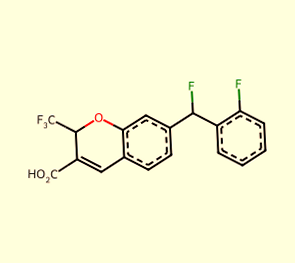 O=C(O)C1=Cc2ccc(C(F)c3ccccc3F)cc2OC1C(F)(F)F